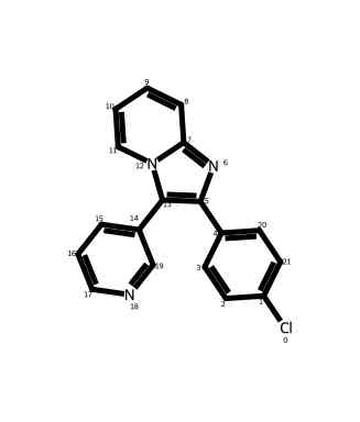 Clc1ccc(-c2nc3ccccn3c2-c2cccnc2)cc1